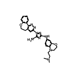 CN(C)CCN1CCOc2cc(Nc3nc(N)n(-c4cc5c(nn4)-c4ccccc4OCC5)n3)ccc21